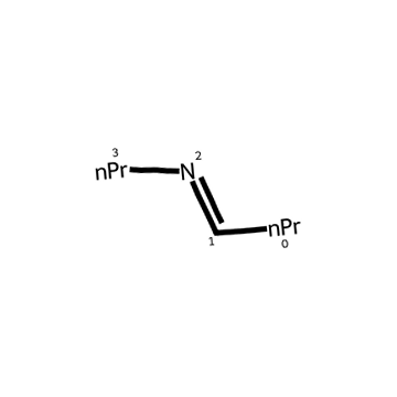 CCCC=NCCC